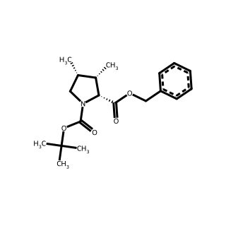 C[C@H]1[C@@H](C)CN(C(=O)OC(C)(C)C)[C@H]1C(=O)OCc1ccccc1